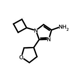 Nc1cn(C2CCC2)c(C2CCOC2)n1